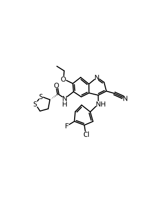 CCOc1cc2ncc(C#N)c(Nc3ccc(F)c(Cl)c3)c2cc1NC(=O)[C@@H]1CCSS1